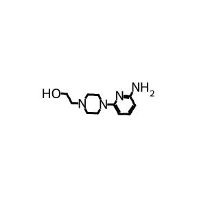 Nc1cccc(N2CCN(CCO)CC2)n1